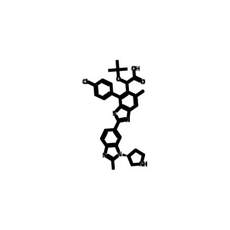 Cc1cc2nc(-c3ccc4nc(C)n([C@@H]5CCNC5)c4c3)sc2c(-c2ccc(Cl)cc2)c1C(OC(C)(C)C)C(=O)O